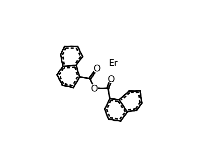 O=C(OC(=O)c1cccc2ccccc12)c1cccc2ccccc12.[Er]